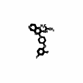 CC(C)Nc1nc2ccncc2nc1N1CCC(Oc2ccc(F)cc2F)CC1